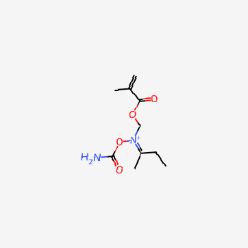 C=C(C)C(=O)OC[N+](OC(N)=O)=C(C)CC